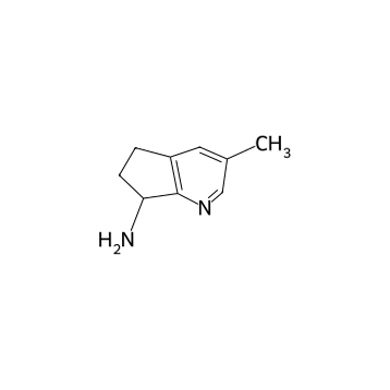 Cc1cnc2c(c1)CCC2N